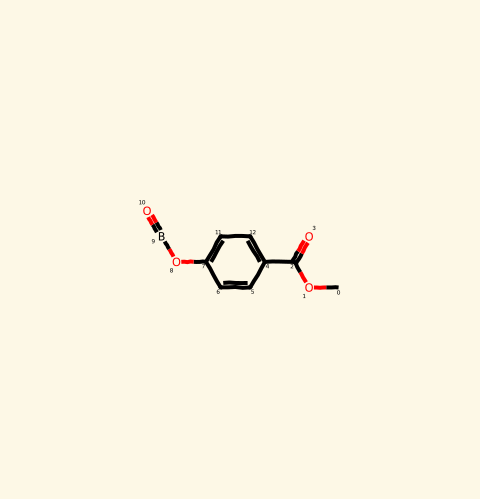 COC(=O)c1ccc(OB=O)cc1